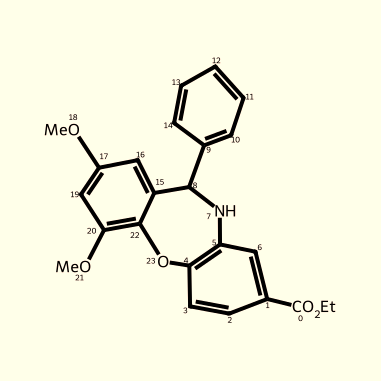 CCOC(=O)c1ccc2c(c1)NC(c1ccccc1)c1cc(OC)cc(OC)c1O2